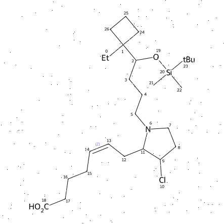 CCC1(C(CCCN2CCC(Cl)C2C/C=C\CCCC(=O)O)O[Si](C)(C)C(C)(C)C)CCC1